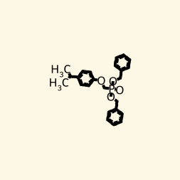 CC(C)c1ccc(OCP(=O)(OCc2ccccc2)OCc2ccccc2)cc1